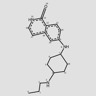 CCCNC1CCC(Nc2ccc3c(=O)[nH]ccc3c2)CC1